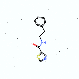 O=C(NCCc1ccccc1)c1cncs1